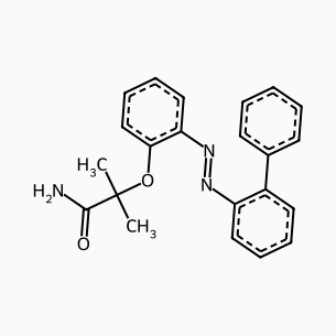 CC(C)(Oc1ccccc1N=Nc1ccccc1-c1ccccc1)C(N)=O